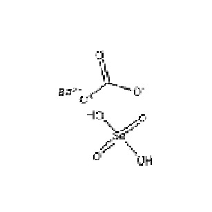 O=C([O-])[O-].O=[Se](=O)(O)O.[Ba+2]